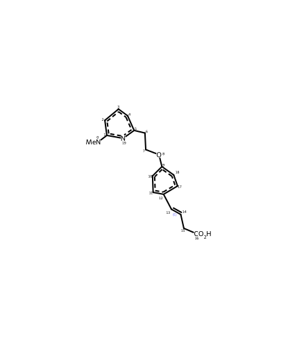 CNc1cccc(CCOc2ccc(/C=C/CC(=O)O)cc2)n1